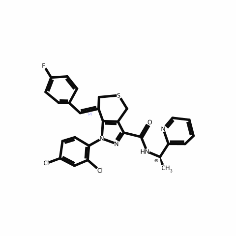 C[C@@H](NC(=O)c1nn(-c2ccc(Cl)cc2Cl)c2c1CSC/C2=C\c1ccc(F)cc1)c1ccccn1